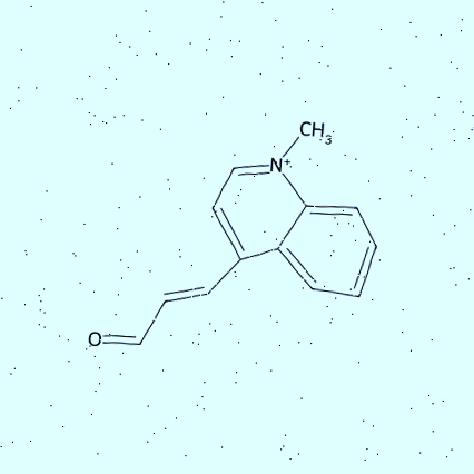 C[n+]1ccc(C=CC=O)c2ccccc21